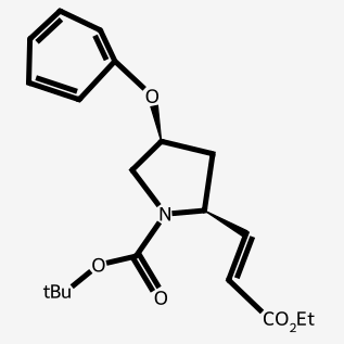 CCOC(=O)/C=C/[C@@H]1C[C@H](Oc2ccccc2)CN1C(=O)OC(C)(C)C